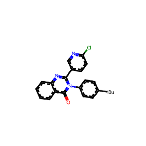 CCC(C)c1ccc(-n2c(-c3ccc(Cl)nc3)nc3ccccc3c2=O)cc1